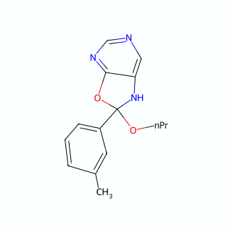 CCCOC1(c2cccc(C)c2)Nc2cncnc2O1